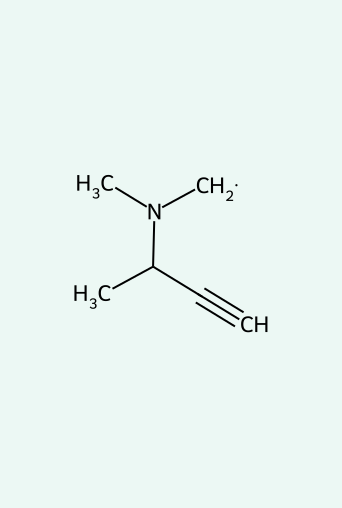 C#CC(C)N([CH2])C